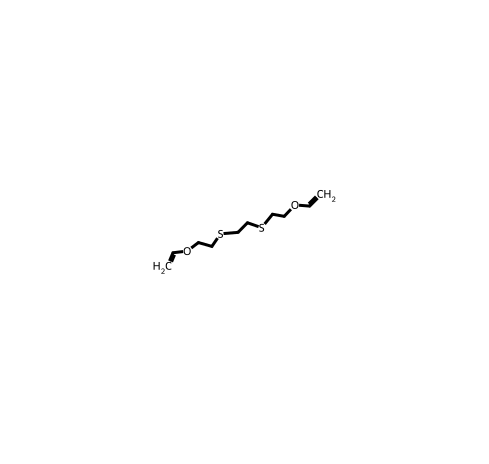 C=COCCSCCSCCOC=C